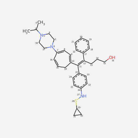 CC(C)N1CCN(C2=CC=C(/C(=C(/CCCO)c3ccccc3)c3ccc(NSC4CC4)cc3)CC=C2)CC1